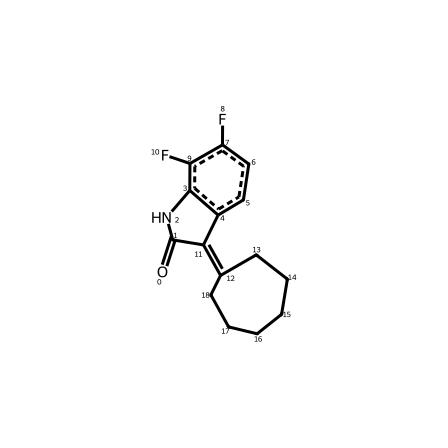 O=C1Nc2c(ccc(F)c2F)C1=C1CCCCCC1